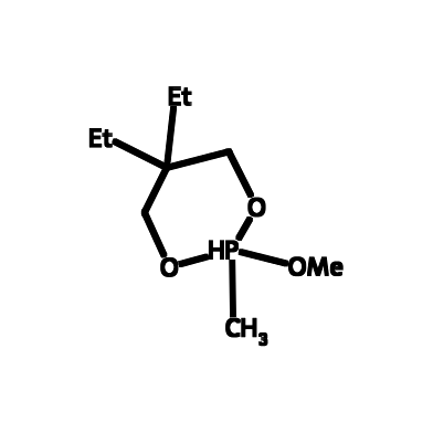 CCC1(CC)CO[PH](C)(OC)OC1